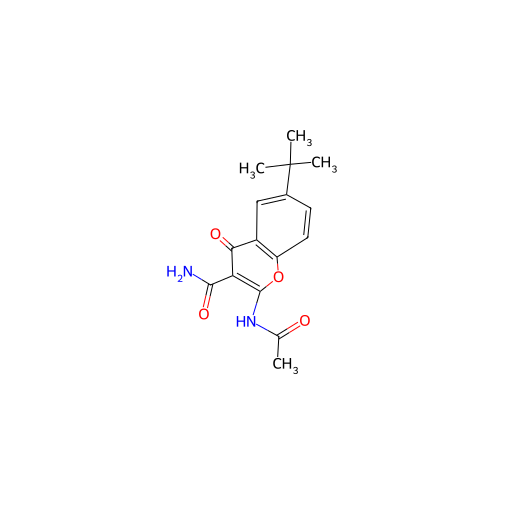 CC(=O)Nc1oc2ccc(C(C)(C)C)cc2c(=O)c1C(N)=O